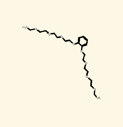 CCOCCOCCOCCOc1ccccc1OCCOCCOCCOCC